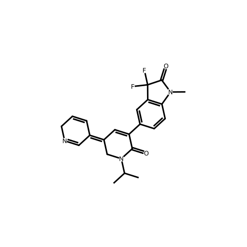 CC(C)N1CC(=C2C=CCN=C2)C=C(c2ccc3c(c2)C(F)(F)C(=O)N3C)C1=O